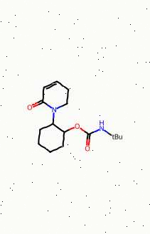 CC(C)(C)NC(=O)OC1CCCCC1N1CCC=CC1=O